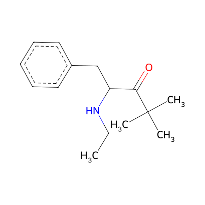 CCNC(Cc1ccccc1)C(=O)C(C)(C)C